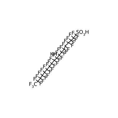 O=S(=O)(O)C(F)(F)C(F)(F)C(F)(F)C(F)(F)C(F)(F)C(F)(F)C(F)(F)C(F)(F)C(F)(F)C(F)(F)C(F)(F)C(F)(F)C(F)(F)C(F)(F)C(F)(F)C(F)(F)C(F)(F)C(F)(F)F.[KH]